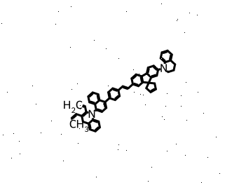 C=CC1=C(/C=C\C)Cc2ccccc2N1c1ccc(-c2ccc(/C=C/c3ccc4c(c3)C3(CC=CC3)c3cc(N5CCCc6ccccc65)ccc3-4)cc2)c2ccccc12